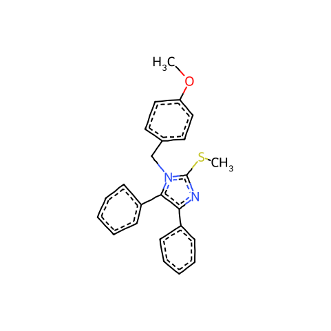 COc1ccc(Cn2c(SC)nc(-c3ccccc3)c2-c2ccccc2)cc1